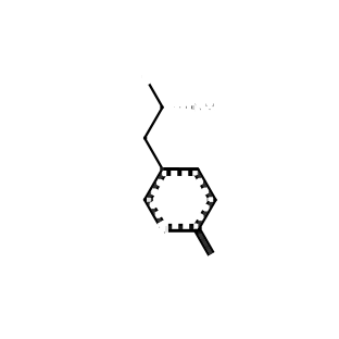 CN[C@H](Cc1ccc(=O)[nH]c1)C(=O)O